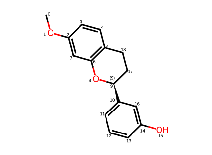 COc1ccc2c(c1)O[C@H](c1cccc(O)c1)CC2